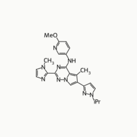 COc1ccc(Nc2nc(-c3nccn3C)nn3cc(-c4ccn(C(C)C)n4)c(C)c23)cn1